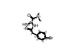 CN(C)C(=O)N1NN=C(Cc2ccc(Br)cc2)N1